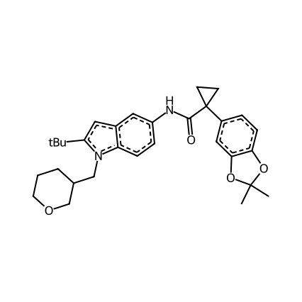 CC1(C)Oc2ccc(C3(C(=O)Nc4ccc5c(c4)cc(C(C)(C)C)n5CC4CCCOC4)CC3)cc2O1